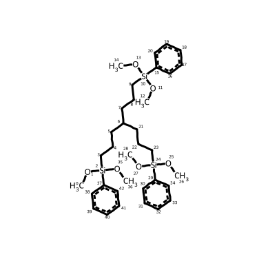 CO[Si](CCCC(CCC[Si](OC)(OC)c1ccccc1)CCC[Si](OC)(OC)c1ccccc1)(OC)c1ccccc1